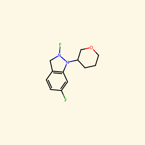 Fc1[c]cc2c(c1)N(C1CCCOC1)N(F)C2